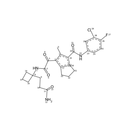 Cc1c(C(=O)C(=O)NC2(CCC(N)=O)CCC2)c2n(c1C(=O)Nc1ccc(F)c(Cl)c1)CCC2